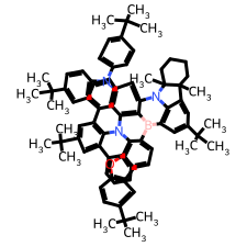 CC(C)(C)c1ccc(N(c2ccc(C(C)(C)C)cc2)c2cc3c4c(c2)N2c5c(cc(C(C)(C)C)cc5C5(C)CCCCC25C)B4c2ccc4c(oc5ccc(C(C)(C)C)cc54)c2N3c2c(-c3ccccc3)cc(C(C)(C)C)cc2-c2ccccc2)cc1